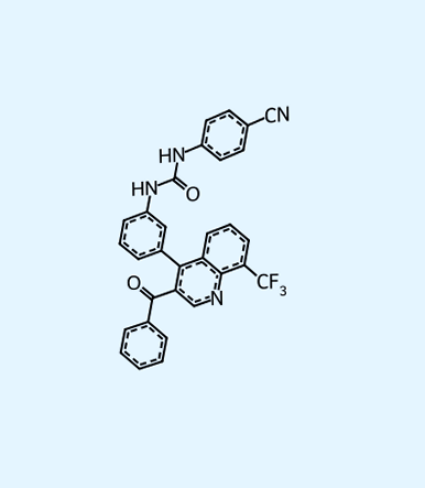 N#Cc1ccc(NC(=O)Nc2cccc(-c3c(C(=O)c4ccccc4)cnc4c(C(F)(F)F)cccc34)c2)cc1